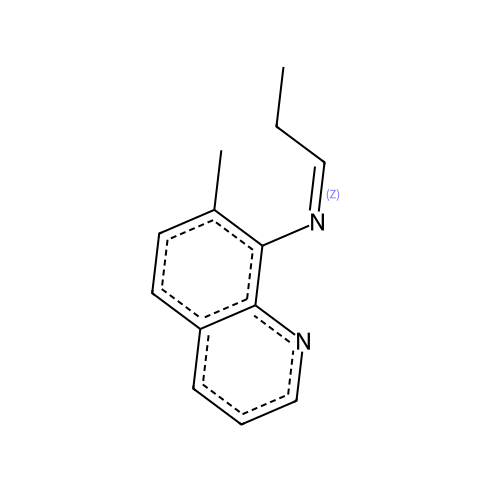 CC/C=N\c1c(C)ccc2cccnc12